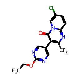 O=c1c(-c2cnc(OCC(F)(F)F)nc2)c(C(F)(F)F)nc2ccc(Cl)cn12